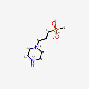 CS(=O)(=O)[CH]CCN1CCNCC1